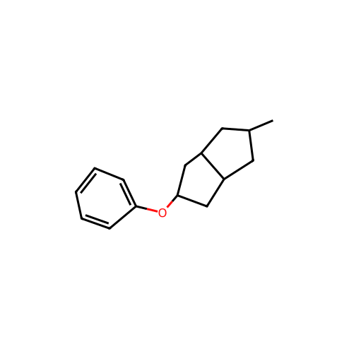 CC1CC2CC(Oc3ccccc3)CC2C1